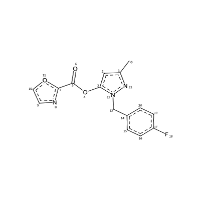 Cc1cc(OC(=O)c2ncco2)n(Cc2ccc(F)cc2)n1